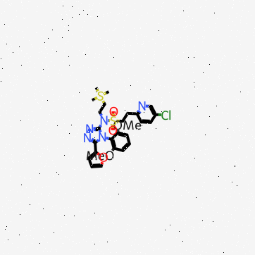 COc1cccc(OC)c1-n1c(-c2ccco2)nnc1N(CCS(C)(C)C)S(=O)(=O)CCc1ccc(Cl)cn1